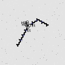 CC/C(COP(=O)(OC/C(CC)=C(\C)CC/C=C(\C)CC/C=C(\C)CCC=C(C)C)OP(=O)(O)O)=C(/C)CC/C=C(\C)CC/C=C(\C)CCC=C(C)C